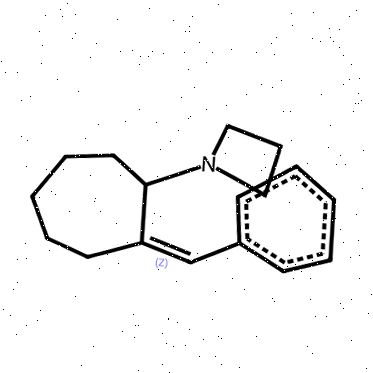 C(=C1\CCCCCC1N1CCC1)/c1ccccc1